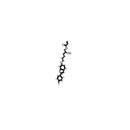 C=CC(=O)OCC(O)CCCCOc1ccc2cc(-c3ccc(C)cc3)sc2c1